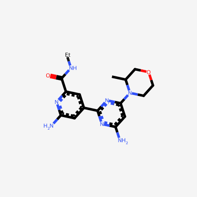 CCNC(=O)c1cc(-c2nc(N)cc(N3CCOCC3C)n2)cc(N)n1